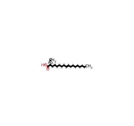 CCCCCCCCC=CCCCCCC[CH]([Au][CH3])C(=O)O